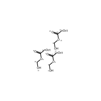 CCCCCCCCC(=O)OCO.CCCCCCCCC(=O)OCO.CCCCCCCCC(=O)OCO